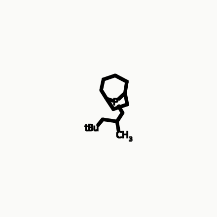 CC(CP1C2CCCCC1CC2)CC(C)(C)C